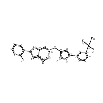 Fc1ccccc1-c1nc2cnn(Cc3cc(-c4cccc(C(F)(F)F)c4)no3)cc-2n1